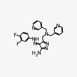 NC1=NN=C(CN(Cc2cccnc2)Cc2cccnc2)C1=NNc1ccc(F)c(F)c1